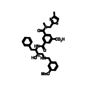 COc1cccc(CNC[C@@H](O)C(Cc2ccccc2)NC(=O)c2cc(C(=O)O)cc(C(=O)N(C)Cc3nc(C)cs3)c2)c1